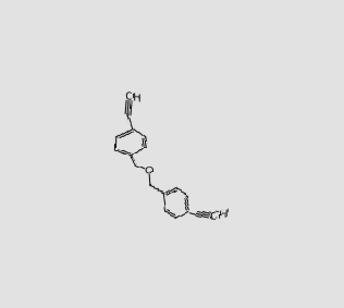 C#Cc1ccc(COCc2ccc(C#C)cc2)cc1